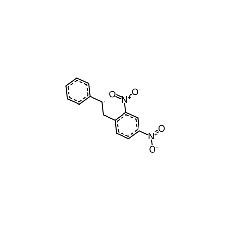 O=[N+]([O-])c1ccc(C[CH]c2ccccc2)c([N+](=O)[O-])c1